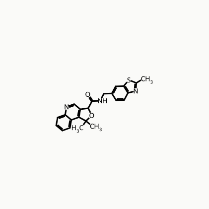 Cc1nc2ccc(CNC(=O)C3OC(C)(C)c4c3cnc3ccccc43)cc2s1